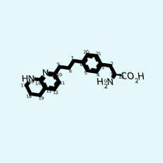 N[C@@H](Cc1ccc(CCCc2ccc3c(n2)NCCC3)cc1)C(=O)O